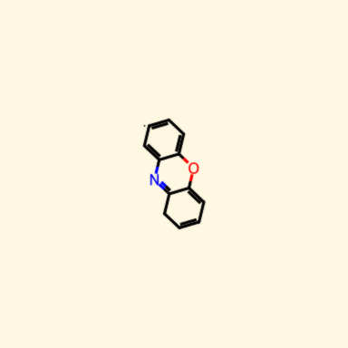 [c]1ccc2c(c1)N=C1CC=CC=C1O2